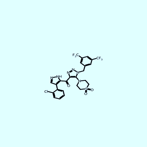 O=C(c1nnn(Cc2cc(C(F)(F)F)cc(C(F)(F)F)c2)c1N1CCS(=O)(=O)CC1)c1[nH]ncc1-c1ccccc1Cl